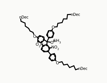 CCCCCCCCCCCCCCCCOc1ccc(-c2ccc([N+](=O)[O-])c(C(O[SiH3])(c3ccc(OCCCCCCCCCCCCCCCC)cc3)c3ccc(OCCCCCCCCCCCCCCCC)cc3)c2[N+](=O)[O-])cc1